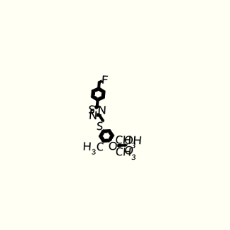 Cc1cc(SCc2nsc(-c3ccc(CF)cc3)n2)ccc1OC(C)(C)C(=O)O